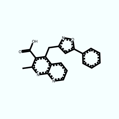 Cc1nc2ncccc2c(Cc2cc(-c3ccccc3)on2)c1C(=O)O